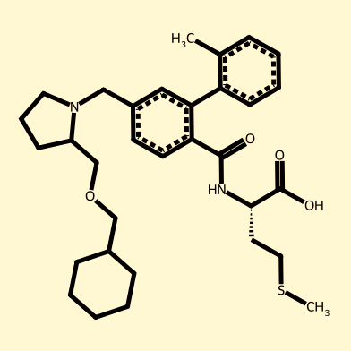 CSCC[C@H](NC(=O)c1ccc(CN2CCCC2COCC2CCCCC2)cc1-c1ccccc1C)C(=O)O